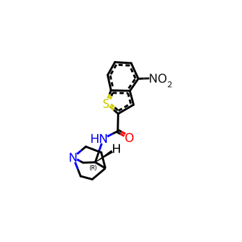 O=C(N[C@H]1CN2CCC1CC2)c1cc2c([N+](=O)[O-])cccc2s1